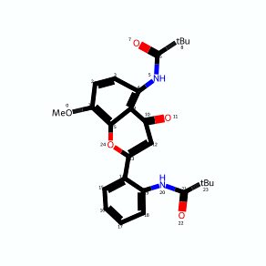 COc1ccc(NC(=O)C(C)(C)C)c2c(=O)cc(-c3ccccc3NC(=O)C(C)(C)C)oc12